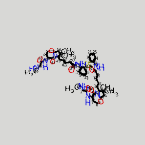 CNCC(=O)N[C@H]1CCOC2CC(C)(C)C(CCCCC(=O)Nc3ccccc3SSc3ccccc3NC(=O)CCCCC3N4C(=O)[C@@H](NC(=O)CNC)CCOC4CC3(C)C)N2C1=O